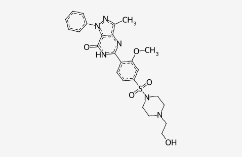 COc1cc(S(=O)(=O)N2CCN(CCO)CC2)ccc1-c1nc2c(C)nn(-c3ccccc3)c2c(=O)[nH]1